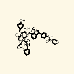 C=CCN1CC(=O)N2[C@@H](Cc3ccc(O)cc3)C(=O)N(Cc3cccc4c(-c5ccc(NC(=O)N6CCOCC6)cc5)cn(C)c34)C[C@@H]2N1C(=O)NCc1ccccc1